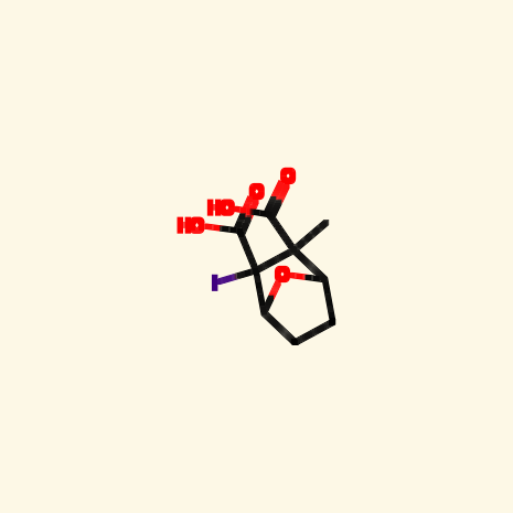 CC1(C(=O)O)C2CCC(O2)C1(I)C(=O)O